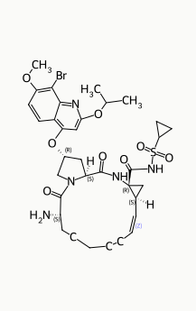 COc1ccc2c(O[C@@H]3C[C@H]4C(=O)N[C@]5(C(=O)NS(=O)(=O)C6CC6)C[C@H]5/C=C\CCCCC[C@H](N)C(=O)N4C3)cc(OC(C)C)nc2c1Br